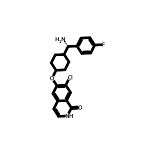 N[C@H](c1ccc(F)cc1)C1CCC(Oc2cc3cc[nH]c(=O)c3cc2Cl)CC1